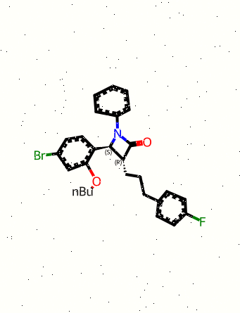 CCCCOc1cc(Br)ccc1[C@@H]1[C@@H](CCCc2ccc(F)cc2)C(=O)N1c1ccccc1